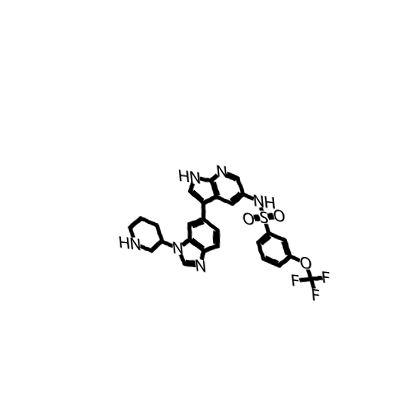 O=S(=O)(Nc1cnc2[nH]cc(-c3ccc4ncn(C5CCCNC5)c4c3)c2c1)c1cccc(OC(F)(F)F)c1